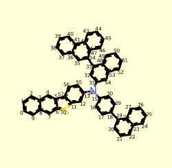 c1ccc2cc3c(cc2c1)sc1cc(N(c2ccc(-c4cccc5ccccc45)cc2)c2cc(-c4cc5ccccc5c5ccccc45)c4ccccc4c2)ccc13